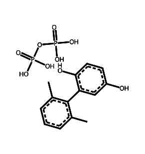 Cc1cccc(C)c1-c1cc(O)ccc1O.O=P(O)(O)OP(=O)(O)O